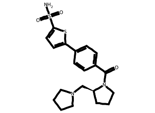 NS(=O)(=O)c1ccc(-c2ccc(C(=O)N3CCC[C@H]3CN3CCCC3)cc2)s1